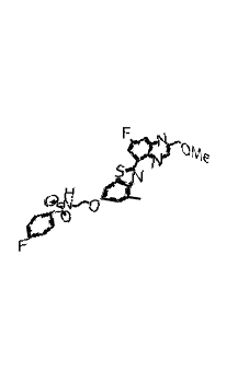 COCc1cnc2c(-c3nc4c(C)cc(OCCNS(=O)(=O)c5ccc(F)cc5)cc4s3)cc(F)cc2n1